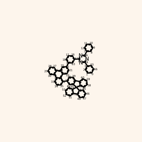 c1ccc(-c2nc(-c3ccccc3)nc(-c3cccc(-c4ccc5c(c4)c4ccccc4c4cccc(-c6ccc7c(c6)C6(c8ccccc8-c8ccccc86)c6ccccc6-7)c45)c3)n2)cc1